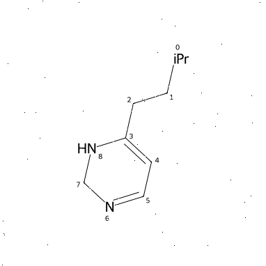 CC(C)CCC1=CC=NCN1